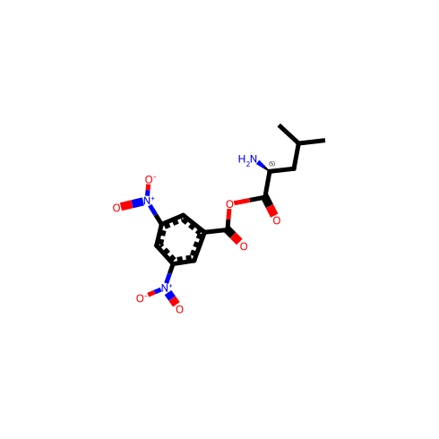 CC(C)C[C@H](N)C(=O)OC(=O)c1cc([N+](=O)[O-])cc([N+](=O)[O-])c1